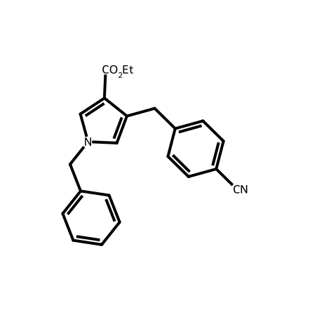 CCOC(=O)c1cn(Cc2ccccc2)cc1Cc1ccc(C#N)cc1